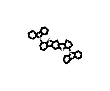 c1cc(-n2c3ccccc3c3ccccc32)c2oc3cc4c(cc3c2c1)oc1c(-n2c3ccccc3c3ccccc32)cccc14